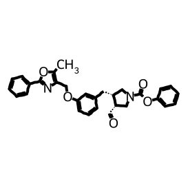 Cc1oc(-c2ccccc2)nc1COc1cccc(C[C@@H]2CN(C(=O)Oc3ccccc3)C[C@@H]2C=O)c1